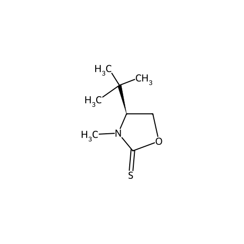 CN1C(=S)OC[C@@H]1C(C)(C)C